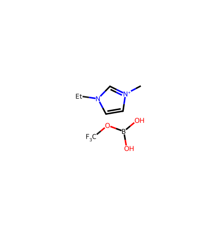 CCn1cc[n+](C)c1.OB(O)OC(F)(F)F